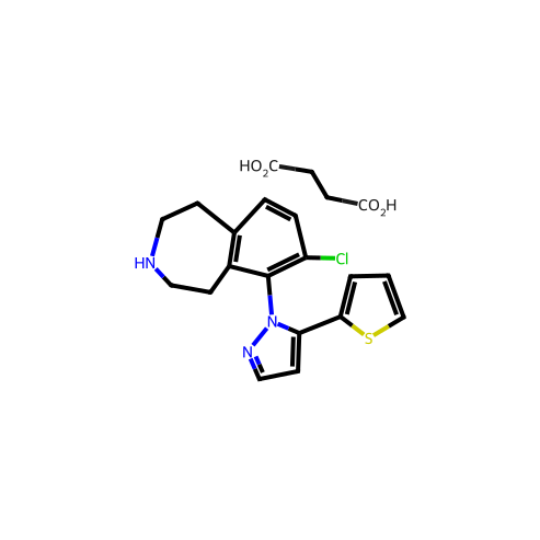 Clc1ccc2c(c1-n1nccc1-c1cccs1)CCNCC2.O=C(O)CCC(=O)O